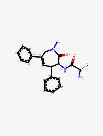 C[C@H](N)C(=O)N[C@@H]1C(=O)N(C)CC(c2ccccc2)=C[C@@H]1c1ccccc1